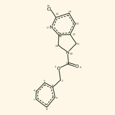 O=C(OCc1ccccc1)N1Cc2ccc(Cl)nc2C1